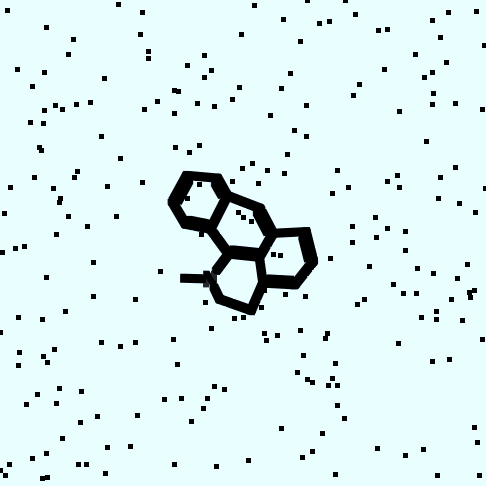 CN1CCc2cccc3cc4ccccc4c1c23